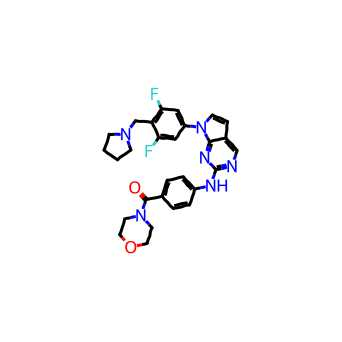 O=C(c1ccc(Nc2ncc3ccn(-c4cc(F)c(CN5CCCC5)c(F)c4)c3n2)cc1)N1CCOCC1